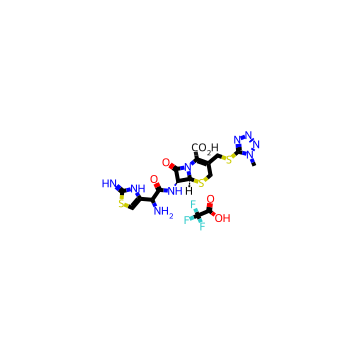 Cn1nnnc1SCC1=C(C(=O)O)N2C(=O)[C@@H](NC(=O)C(N)c3csc(=N)[nH]3)[C@@H]2SC1.O=C(O)C(F)(F)F